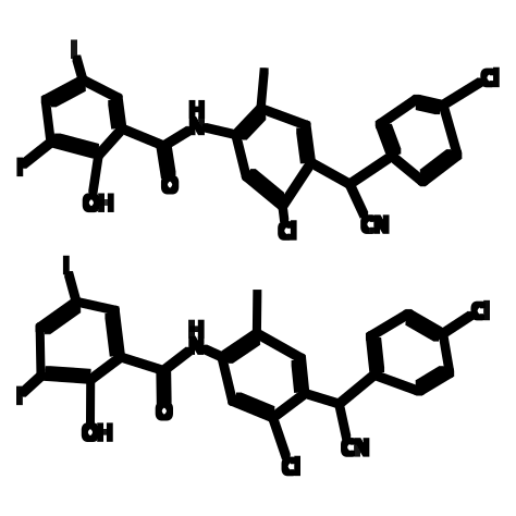 Cc1cc(C(C#N)c2ccc(Cl)cc2)c(Cl)cc1NC(=O)c1cc(I)cc(I)c1O.Cc1cc(C(C#N)c2ccc(Cl)cc2)c(Cl)cc1NC(=O)c1cc(I)cc(I)c1O